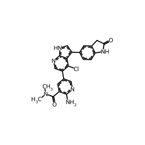 CN(C)C(=O)c1cc(-c2cnc3[nH]cc(-c4ccc5c(c4)CC(=O)N5)c3c2Cl)cnc1N